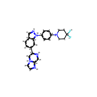 FC1(F)CCN(c2ccc(-n3ncc4ccc(-c5cn6ccnc6cn5)cc43)cc2)CC1